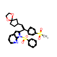 CS(=O)(=O)c1ccc(/C(=C/C2CCC3(C2)OCCO3)c2cc3cccnc3n2S(=O)(=O)c2ccccc2)cc1